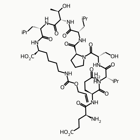 C=CCOC(=O)NCCCC[C@H](NC(=O)[C@H](CC(C)C)NC(=O)[C@@H](NC(=O)[C@H](CC(C)C)NC(=O)[C@@H]1CCCN1C(=O)[C@H](CO)NC(=O)[C@@H](NC(=O)[C@H](CCC(N)=O)NC(=O)[C@@H](N)CCC(=O)O)C(C)C)[C@@H](C)O)C(=O)O